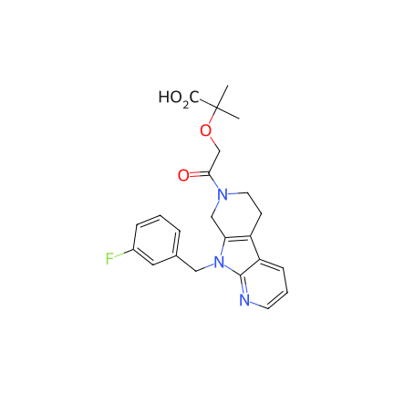 CC(C)(OCC(=O)N1CCc2c(n(Cc3cccc(F)c3)c3ncccc23)C1)C(=O)O